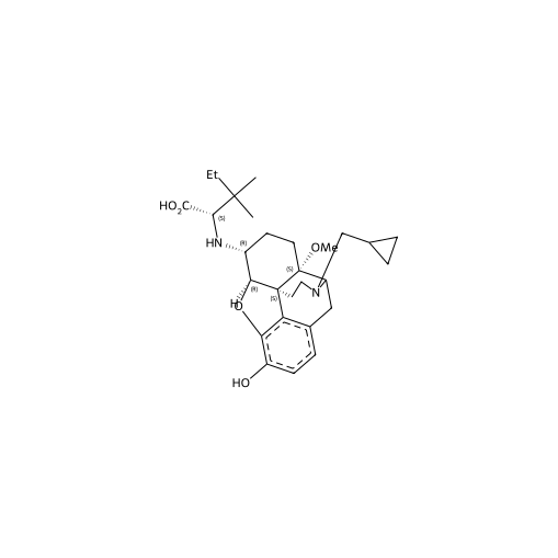 CCC(C)(C)[C@H](N[C@@H]1CC[C@@]2(OC)C3Cc4ccc(O)c5c4[C@@]2(CCN3CC2CC2)[C@H]1O5)C(=O)O